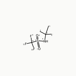 [CH2]C(C)(C)NS(=O)(=O)C(F)(F)F